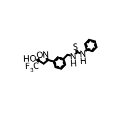 OC1(C(F)(F)F)CC(c2cccc(CNC(=S)Nc3ccccc3)c2)=NO1